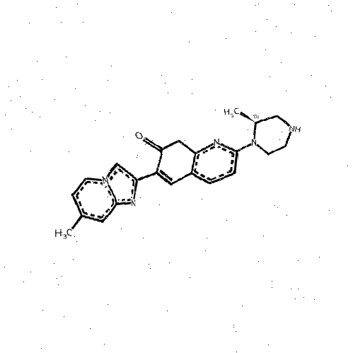 Cc1ccn2cc(C3=Cc4ccc(N5CCNC[C@@H]5C)nc4CC3=O)nc2c1